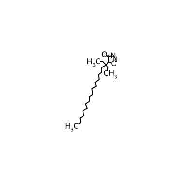 CCCCCCCCCCCCCCCCCC(CC)(CC)C1ON=NC1=O